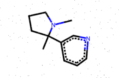 CN1CCCC1(C)c1cccnc1